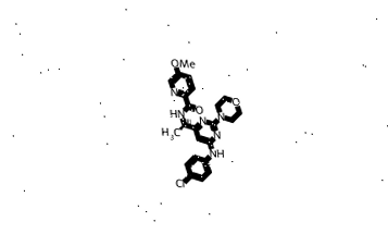 COc1ccc(C(=O)N[C@H](C)c2cc(Nc3ccc(Cl)cc3)nc(N3CCOCC3)n2)nc1